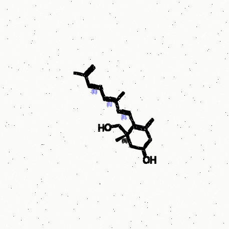 C=C(C)/C=C/C=C(C)/C=C/C1=C(C)CC(O)C[C@]1(C)CO